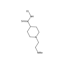 CCNC(=S)C1CCN(CCNC)CC1